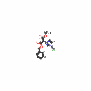 CCCCOC(=O)[C@@H](C(=O)OCc1ccccc1)n1cc[n+](C)c1.[Br-]